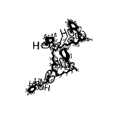 CCC1CC(CCCC2CC(CC(O)CCCC3CC(CCCC(O)CC4C[C@H](C)OC(c5ccccc5O)O4)OC(c4ccccc4O)O3)OC(CNC(O)Nc3ccccc3)O2)OC(c2ccccc2O)O1